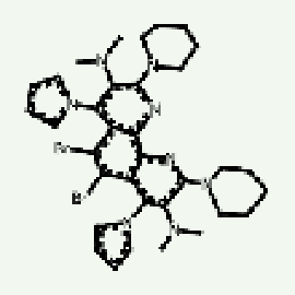 CN(C)c1c(N2CCCCC2)nc2c(c(Br)c(Br)c3c(-n4cccc4)c(N(C)C)c(N4CCCCC4)nc32)c1-n1cccc1